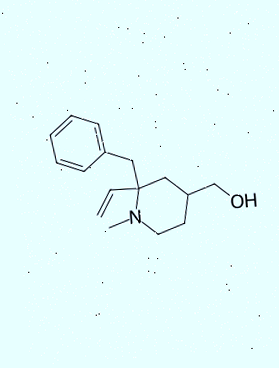 C=CC1(Cc2ccccc2)CC(CO)CCN1C